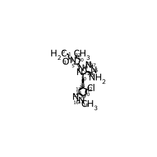 C=CC(=O)N1C[C@@H](n2nc(C#Cc3cc4ncn(C)c4cc3Cl)c3c(N)ncnc32)C[C@@H]1C